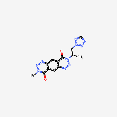 CC(C)n1nnc2cc3c(=O)n([C@H](C)Cn4ncnn4)nnc3cc2c1=O